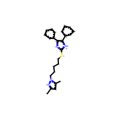 Cc1cc(C)n(CCCCCSc2nc(-c3ccccc3)c(-c3ccccc3)[nH]2)n1